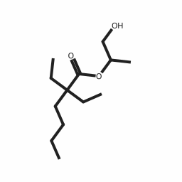 CCCCC(CC)(CC)C(=O)OC(C)CO